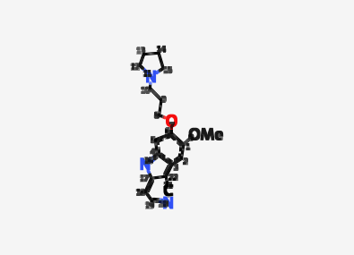 COc1cc2c(cc1OCCCN1CCCC1)=NC1=CC=NCC=21